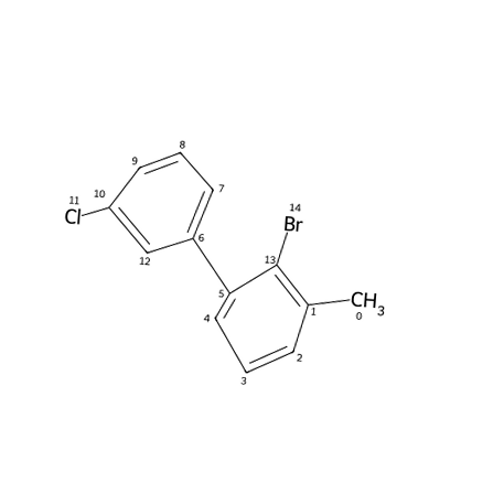 Cc1cccc(-c2cccc(Cl)c2)c1Br